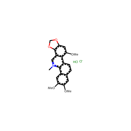 COc1cc2ccc3c4c(OC)cc5c(c4c[n+](C)c3c2cc1OC)OCO5.Cl.[Cl-]